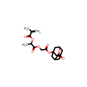 C=C(C)C(=O)OC(C)C(=O)OCC(=O)OC12CC3CC(C1)OC(=O)C(C3)C2